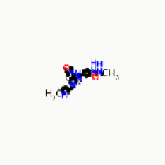 CCNC(=O)Nc1ccc(-c2nc3c(c(N4CCOC[C@@H]4C)n2)CCN(Cc2ccc(C)nc2)C3)cc1